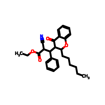 CCCCCCC1Oc2ccccc2C(=O)C1C(c1ccccc1)C(C#N)C(=O)OCC